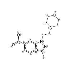 Cc1nn(CCN2CCOCC2)c2cc(C(=O)O)ccc12